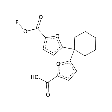 O=C(O)c1ccc(C2(c3ccc(C(=O)OF)o3)CCCCC2)o1